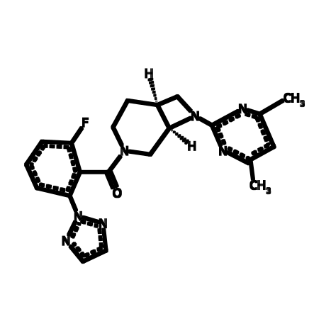 Cc1cc(C)nc(N2C[C@@H]3CCN(C(=O)c4c(F)cccc4-n4nccn4)C[C@@H]32)n1